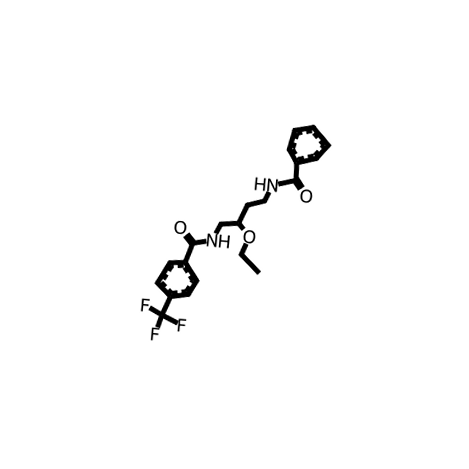 CCOC(CCNC(=O)c1ccccc1)CNC(=O)c1ccc(C(F)(F)F)cc1